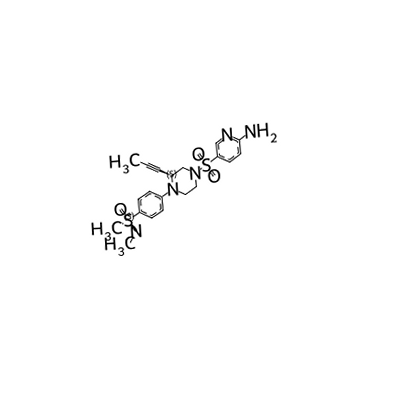 CC#C[C@H]1CN(S(=O)(=O)c2ccc(N)nc2)CCN1c1ccc([S@](C)(=O)=NC)cc1